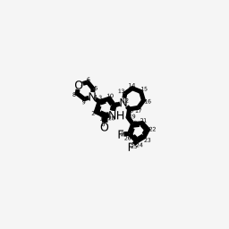 O=c1cc(N2CCOCC2)cc(N2CCCCCC2Cc2cccc(F)c2F)[nH]1